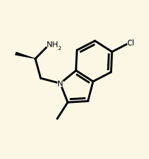 Cc1cc2cc(Cl)ccc2n1C[C@@H](C)N